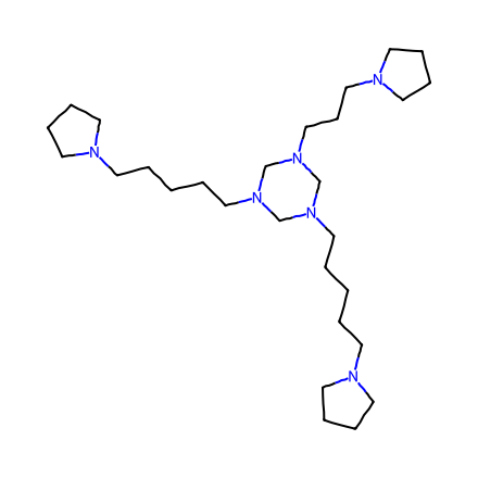 C(CCN1CCCC1)CCN1CN(CCCCCN2CCCC2)CN(CCCN2CCCC2)C1